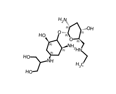 CCNC[C@H]1O[C@H](OC2[C@H](O)C[C@H](NC(CO)CO)C[C@@H]2N)[C@H](N)C[C@@H]1O